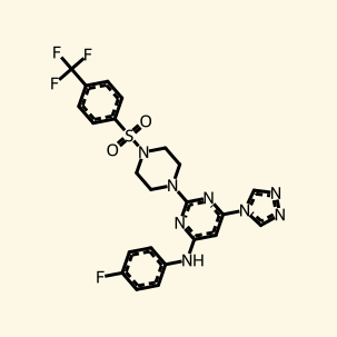 O=S(=O)(c1ccc(C(F)(F)F)cc1)N1CCN(c2nc(Nc3ccc(F)cc3)cc(-n3cnnc3)n2)CC1